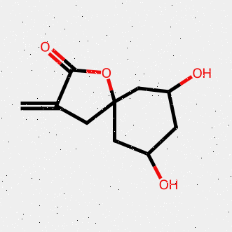 C=C1CC2(CC(O)CC(O)C2)OC1=O